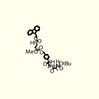 CON(CCNC(=O)OCC1c2ccccc2-c2ccccc21)C(=O)OCc1ccc(NC(=O)[C@H](C)NC(=O)[C@H](C)NC(=O)OC(C)(C)C)cc1